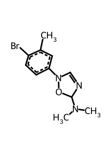 Cc1cc(N2C=NC(N(C)C)O2)ccc1Br